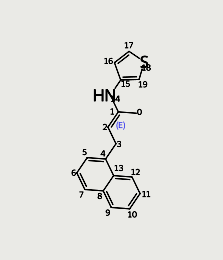 C/C(=C\Cc1cccc2ccccc12)Nc1ccsc1